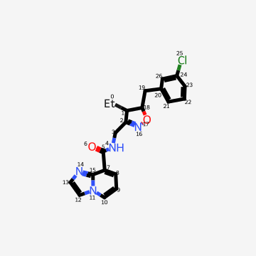 CCC1C(CNC(=O)c2cccn3ccnc23)=NOC1Cc1cccc(Cl)c1